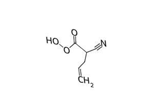 C=CCC(C#N)C(=O)OO